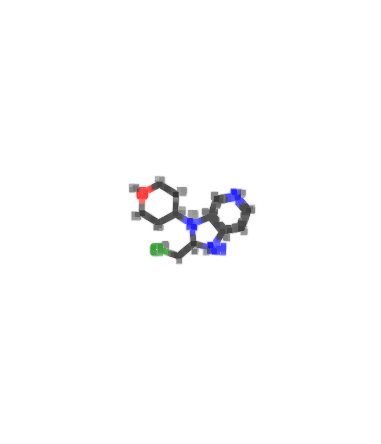 ClCC1Nc2ccncc2N1C1CCOCC1